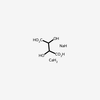 O=C(O)C(O)C(O)C(=O)O.[CaH2].[NaH]